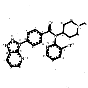 CN1CCC(N(C(=O)c2ccc(-n3nnc4cccnc43)cc2)c2ncccc2Cl)CC1